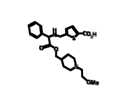 COCCN1CCC(COC(=O)C(NCc2ccc(C(=O)O)s2)c2ccccc2)CC1